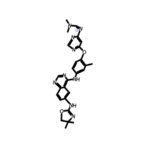 Cc1cc(Nc2ncnc3ccc(NC4=NC(C)(C)CO4)cc23)ccc1Oc1cc(/N=C\N(C)C)ncn1